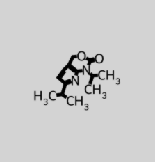 CC(C)c1ccc2c(n1)N(C(C)C)C(=O)OC2